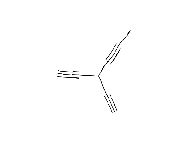 C#CC(C#C)C#CC